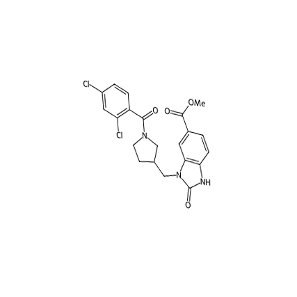 COC(=O)c1ccc2[nH]c(=O)n(CC3CCN(C(=O)c4ccc(Cl)cc4Cl)C3)c2c1